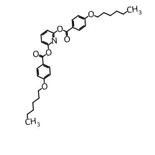 CCCCCCOc1ccc(C(=O)Oc2cccc(OC(=O)c3ccc(OCCCCCC)cc3)n2)cc1